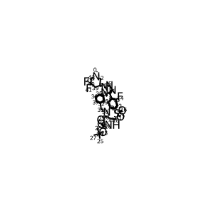 CN1CC(n2nnc(-c3cc4c(cc3F)S(=O)(=O)C[C@H](NC(=O)OC(C)(C)C)C(=O)N4Cc3ccccc3)n2)CC(F)(F)C1